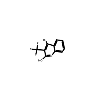 Oc1nc2ccccc2c(Br)c1C(F)(F)F